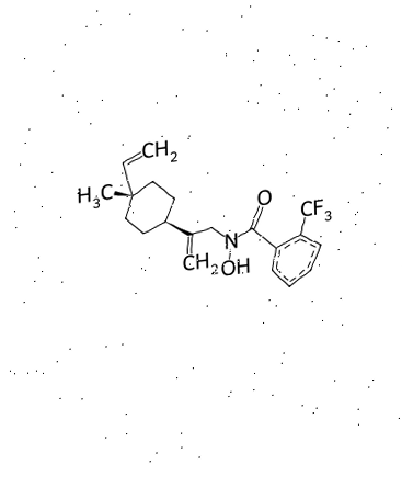 C=C[C@]1(C)CC[C@@H](C(=C)CN(O)C(=O)c2ccccc2C(F)(F)F)CC1